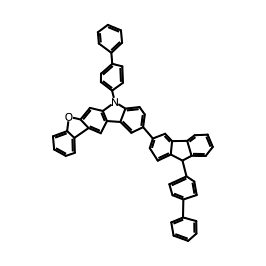 c1ccc(-c2ccc(C3c4ccccc4-c4cc(-c5ccc6c(c5)c5cc7c(cc5n6-c5ccc(-c6ccccc6)cc5)oc5ccccc57)ccc43)cc2)cc1